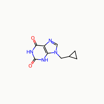 O=c1[nH]c(=O)c2ncn(CC3CC3)c2[nH]1